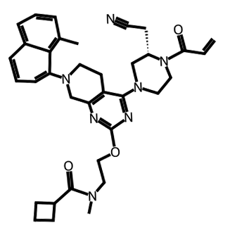 C=CC(=O)N1CCN(c2nc(OCCN(C)C(=O)C3CCC3)nc3c2CCN(c2cccc4cccc(C)c24)C3)C[C@@H]1CC#N